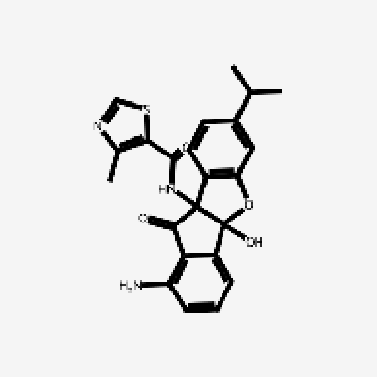 Cc1ncsc1C(=O)NC12C(=O)c3c(N)cccc3C1(O)Oc1cc(C(C)C)ccc12